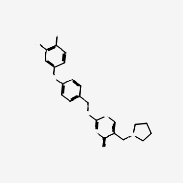 O=c1nc(SCc2ccc(Oc3ccc(Cl)c(C(F)(F)F)c3)cc2)[nH]cc1CN1CCCC1